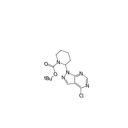 CC(C)(C)OC(=O)N1CCCCC1n1ncc2c(Cl)ncnc21